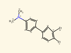 CCc1ccc(-c2ccc(N(C)C)cc2)cc1CC